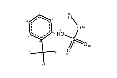 CC(C)(C)c1ccccc1.O=S(=O)(O)OCl